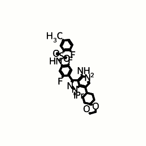 Cc1ccc(F)c(S(=O)(=O)Nc2cc(F)c(-c3nn(C(C)C)c4c(C5CCC6(CC5)OCCO6)cnc(N)c34)cc2F)c1